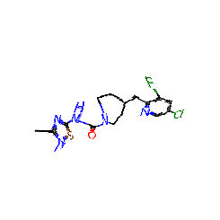 Cc1nsc(NC(=O)N2CCC(Cc3ncc(Cl)cc3F)CC2)n1